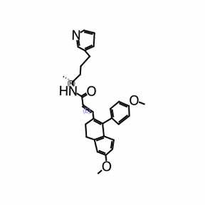 COc1ccc(C2=C(/C=C/C(=O)N[C@H](C)CCCc3cccnc3)CCc3cc(OC)ccc32)cc1